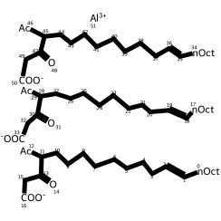 CCCCCCCCC=CCCCCCCCCC(C(C)=O)C(=O)CC(=O)[O-].CCCCCCCCC=CCCCCCCCCC(C(C)=O)C(=O)CC(=O)[O-].CCCCCCCCC=CCCCCCCCCC(C(C)=O)C(=O)CC(=O)[O-].[Al+3]